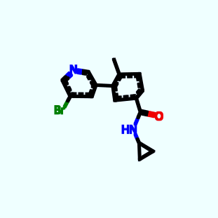 Cc1ccc(C(=O)NC2CC2)cc1-c1cncc(Br)c1